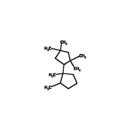 CC1CCCC1(C)[C]1CC(C)(C)CC1(C)C